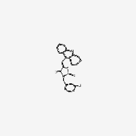 O=C1SC(=Cc2c3ccccc3nc3ccccc23)C(=O)N1Cc1cccc(Cl)c1